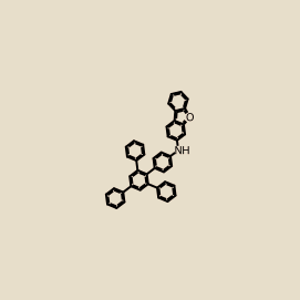 c1ccc(-c2cc(-c3ccccc3)c(-c3ccc(Nc4ccc5c(c4)oc4ccccc45)cc3)c(-c3ccccc3)c2)cc1